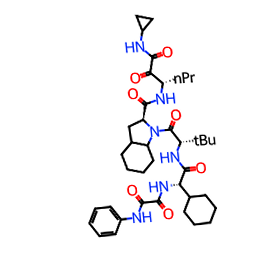 CCC[C@H](NC(=O)[C@@H]1CC2CCCCC2N1C(=O)[C@@H](NC(=O)[C@@H](NC(=O)C(=O)Nc1ccccc1)C1CCCCC1)C(C)(C)C)C(=O)C(=O)NC1CC1